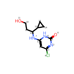 O=c1nc(Cl)cc(NC(CCO)C2CC2)[nH]1